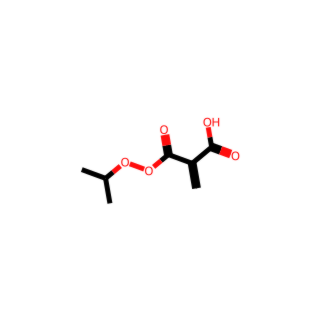 C=C(C(=O)O)C(=O)OOC(C)C